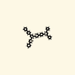 c1ccc(-c2ccc(-c3cc(-c4ccc(-c5ccccc5)cn4)nc(-c4ccc(-c5ccc(-c6nc(-c7ccccc7)cc(-c7ccccc7)n6)cc5)cn4)c3)cc2)cc1